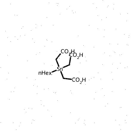 CCCCC[CH2][Sn]([CH2]C(=O)O)([CH2]C(=O)O)[CH2]C(=O)O